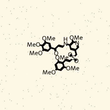 COc1cc(OC)c(/C=C/S(=O)(=O)Cc2cnc(OC)c(N/C=C/C(=O)c3cc(OC)c(OC)c(OC)c3)c2)c(OC)c1